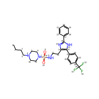 CCCCN1CCN(S(=O)(=O)NCCc2nc(-c3ccccc3)[nH]c2-c2ccc(C(F)(F)F)cc2)CC1